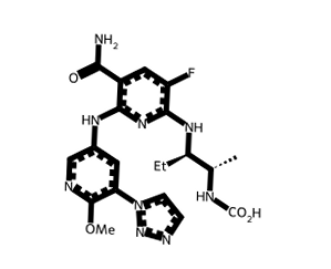 CC[C@@H](Nc1nc(Nc2cnc(OC)c(-n3ccnn3)c2)c(C(N)=O)cc1F)[C@H](C)NC(=O)O